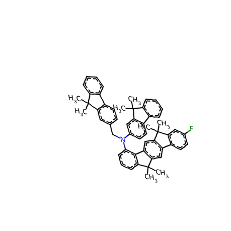 CC1(C)c2ccccc2-c2ccc(CN(c3ccc4c(c3)C(C)(C)c3ccccc3-4)c3cccc4c3-c3cc5c(cc3C4(C)C)-c3ccc(F)cc3C5(C)C)cc21